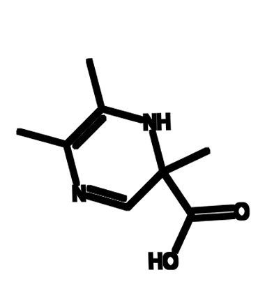 CC1=C(C)NC(C)(C(=O)O)C=N1